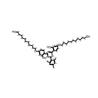 Cc1cc(C)c(-c2nc(-c3ccc(OCCCCCCCCCCCO)cc3O)nc(-c3ccc(OCCCCCCCCCCCO)cc3O)n2)c(C)c1